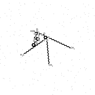 CCCCCCCCCCCCCCCCCCOc1cc(C(=O)OCC(=O)O[C@]2(O)C[C@H](n3cnc4c(NC(=O)c5ccccc5)ncnc43)O[C@@H]2CO)cc(OCCCCCCCCCCCCCCCCCC)c1OCCCCCCCCCCCCCCCCCC